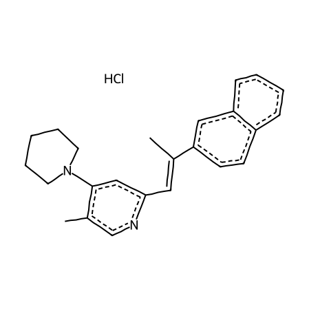 CC(=Cc1cc(N2CCCCC2)c(C)cn1)c1ccc2ccccc2c1.Cl